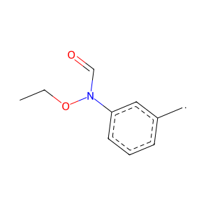 [CH2]c1cccc(N(C=O)OCC)c1